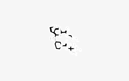 CCOC(=O)c1nc(N[C@@H]2CCCN(C(=O)OC(C)(C)C)C2)c2cc[nH]c2n1